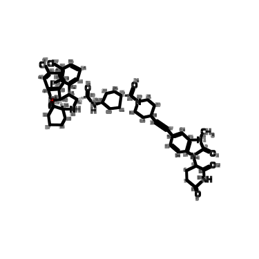 Cn1c(=O)n(C2CCC(=O)NC2=O)c2ccc(C#CC3CCN(C(=O)[C@H]4CC[C@H](NC(=O)[C@@H]5NC6(CCCCC6)[C@@]6(C(=O)Nc7cc(Cl)ccc76)[C@H]5c5cccc(Cl)c5F)CC4)CC3)cc21